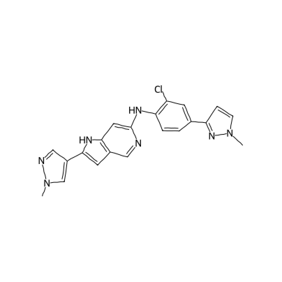 Cn1cc(-c2cc3cnc(Nc4ccc(-c5ccn(C)n5)cc4Cl)cc3[nH]2)cn1